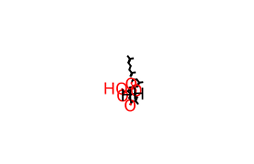 CC(C)=CCC/C(C)=C/[C@@H]1CC(C)=C[C@]2(C=C(C(=O)O)[C@H]3CC(=O)C(C)=C[C@H]3O2)O1